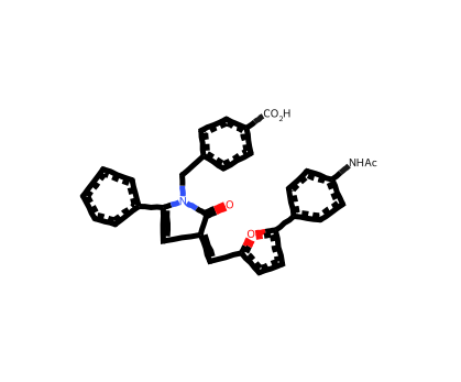 CC(=O)Nc1ccc(-c2ccc(C=C3C=C(c4ccccc4)N(Cc4ccc(C(=O)O)cc4)C3=O)o2)cc1